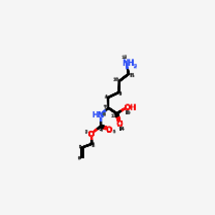 C=CCOC(=O)NC(CCCCN)C(=O)O